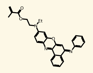 C=C(C)C(=O)OCCN(CC)c1ccc2nc3c4ccccc4c(=Nc4ccccc4)cc-3oc2c1